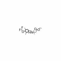 CCOC(=O)CC(C)(C)NCc1cc(C)c(OC(F)F)c(C)c1